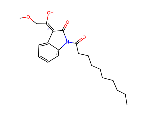 CCCCCCCCCC(=O)N1C(=O)/C(=C(\O)COC)c2ccccc21